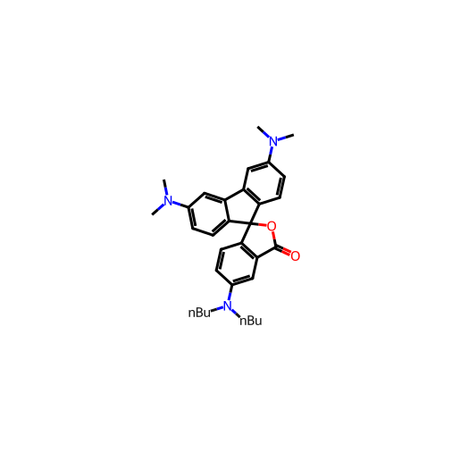 CCCCN(CCCC)c1ccc2c(c1)C(=O)OC21c2ccc(N(C)C)cc2-c2cc(N(C)C)ccc21